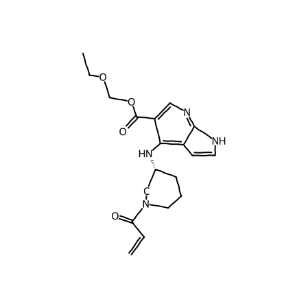 C=CC(=O)N1CCC[C@@H](Nc2c(C(=O)OCOCC)cnc3[nH]ccc23)C1